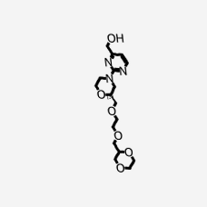 OCc1ccnc(N2CCO[C@H](COCCOCC3COCCO3)C2)n1